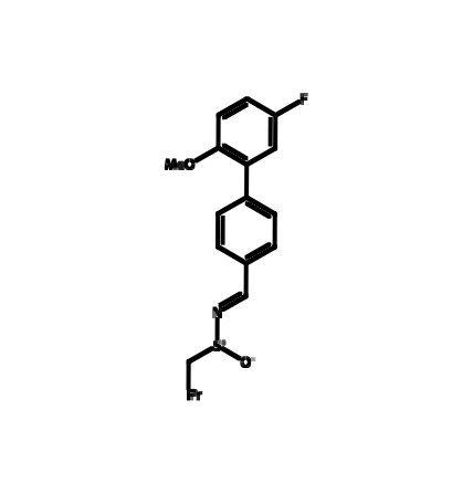 COc1ccc(F)cc1-c1ccc(C=N[S+]([O-])CC(C)C)cc1